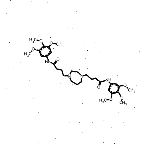 COc1cc(NC(=O)CCCN2CCCN(CCCC(=O)Nc3cc(OC)c(OC)c(OC)c3)CC2)cc(OC)c1OC